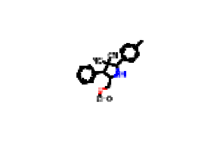 Cc1ccc(C2NC(COC=O)C(c3ccccc3)C2(C#N)C#N)cc1